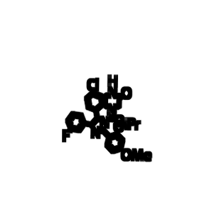 COc1ccc(C2=NC(c3cccc(F)c3)C(C3C=CC(Cl)=CC3)N2C(=O)N2CCNC(=O)C2)c(OC(C)C)c1